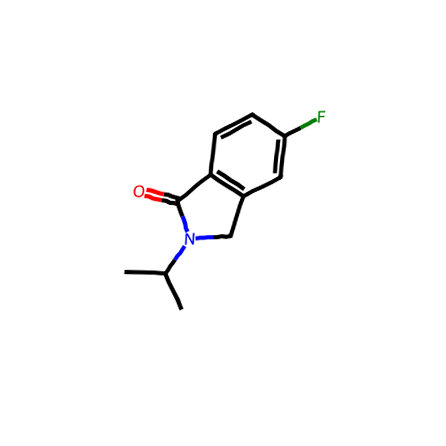 CC(C)N1Cc2cc(F)ccc2C1=O